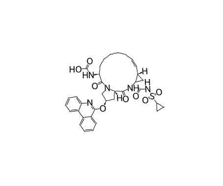 O=C(O)N[C@H]1CCCCCC=C[C@@H]2C[C@@]2(C(=O)NS(=O)(=O)C2CC2)NC(=O)[C@@H]2C[C@@H](Oc3nc4ccccc4c4ccccc34)CN2C1=O